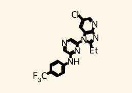 CCc1nc2ncc(Cl)cc2n1-c1cncc(Nc2ccc(C(F)(F)F)cc2)n1